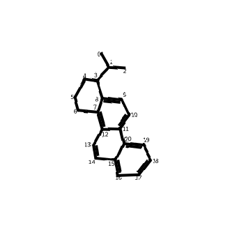 CC(C)C1CCCc2c1ccc1c2ccc2ccccc21